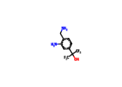 NCc1ccc(C(O)(C(F)(F)F)C(F)(F)F)cc1N